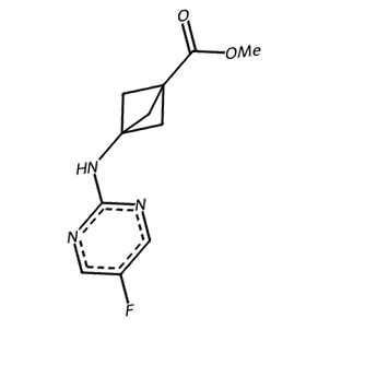 COC(=O)C12CC(Nc3ncc(F)cn3)(C1)C2